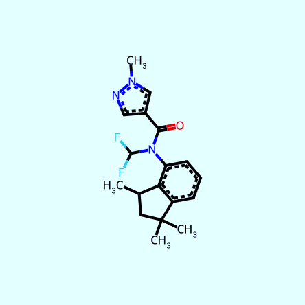 CC1CC(C)(C)c2cccc(N(C(=O)c3cnn(C)c3)C(F)F)c21